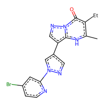 CCc1c(C)[nH]c2c(-c3cnn(-c4cc(Br)ccn4)c3)cnn2c1=O